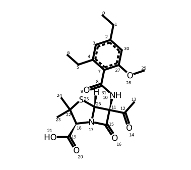 CCc1cc(CC)c(C(=O)N[C@@]2(C(C)=O)C(=O)N3[C@@H](C(=O)O)C(C)(C)S[C@@H]32)c(OC)c1